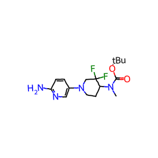 CN(C(=O)OC(C)(C)C)C1CCN(c2ccc(N)nc2)CC1(F)F